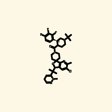 Cc1nc2c(cc1Cl)C(C(C)(C)C1=CCC=NN1C)OC21CCN(C(=O)C2CCN(C(C)(C)C)C[C@H]2c2ccc(F)c(F)c2F)CC1